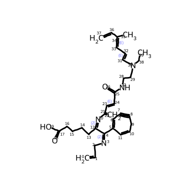 C=CC/N=C(C1=CC#CCC=C1)\C(CCCCC(=O)O)=N/C(=C)/C=C/C(=O)NCCN(/C=C/C=C(\C)C=C)CC